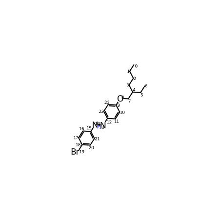 CCCCC(CC)COc1ccc(/N=N/c2ccc(Br)cc2)cc1